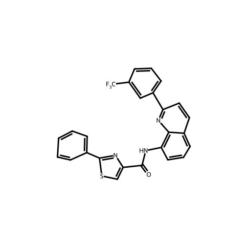 O=C(Nc1cccc2ccc(-c3cccc(C(F)(F)F)c3)nc12)c1csc(-c2ccccc2)n1